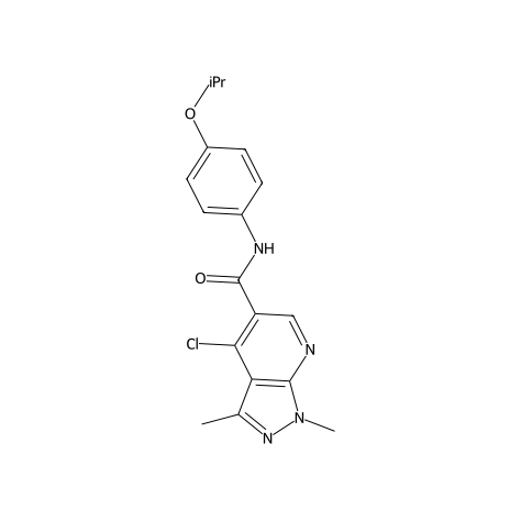 Cc1nn(C)c2ncc(C(=O)Nc3ccc(OC(C)C)cc3)c(Cl)c12